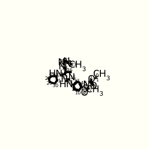 CCOC(=O)N=S(C)(=O)c1ccc(Nc2ncc(-c3nnnn3C)c(NC3CCCCC3)n2)cc1